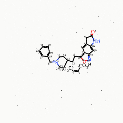 O=C(O)/C=C\C(=O)O.O=C1Cc2cc3c(CCC4CCN(Cc5ccccc5)CC4)onc3cc2N1